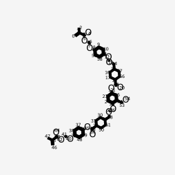 C=C(C)C(=O)OCOc1ccc(OOCC2CCC(C(=O)Oc3ccc(OOCC4CCC(C(=O)Oc5ccc(OCOC(=O)C(=C)C)cc5)CC4)c(C=O)c3)CC2)cc1